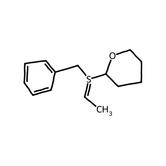 CC=S(Cc1ccccc1)C1CCCCO1